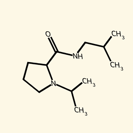 CC(C)CNC(=O)C1CCCN1C(C)C